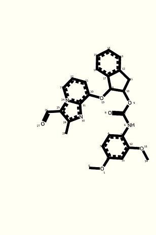 COc1ccc(NC(=O)OC2Cc3ccccc3C2Oc2cccn3c(C=O)c(C)nc23)c(OC)c1